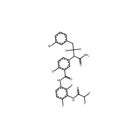 NC(=O)C(c1ccc(Cl)c(C(=O)Nc2ccc(F)c(NC(=O)C(F)F)c2F)c1)C(Cl)(Cl)Cc1cccc(Br)c1